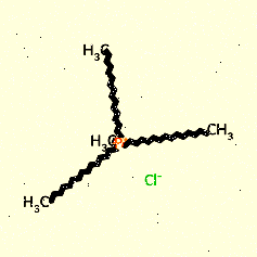 CCCCCCCCCCCCCCCC[P+](C)(CCCCCCCCCCCCCCCC)CCCCCCCCCCCCCCCC.[Cl-]